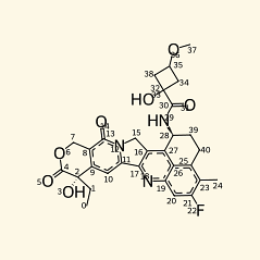 CC[C@@]1(O)C(=O)OCc2c1cc1n(c2=O)Cc2c-1nc1cc(F)c(C)c3c1c2[C@@H](NC(=O)C1(O)CC(OC)C1)CC3